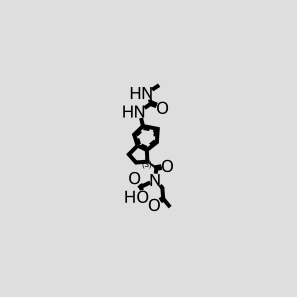 CNC(=O)Nc1ccc2c(c1)CC[C@@H]2C(=O)N(CC(C)=O)C(=O)O